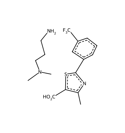 CN(C)CCCN.Cc1nc(-c2cccc(C(F)(F)F)c2)sc1C(=O)O